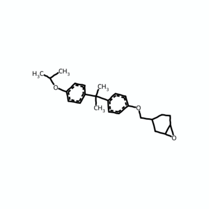 CC(C)Oc1ccc(C(C)(C)c2ccc(OCC3CCC4OC4C3)cc2)cc1